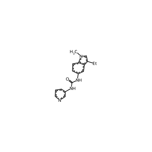 CCc1cn(C)c2ccc(NC(=O)Nc3cccnc3)cc12